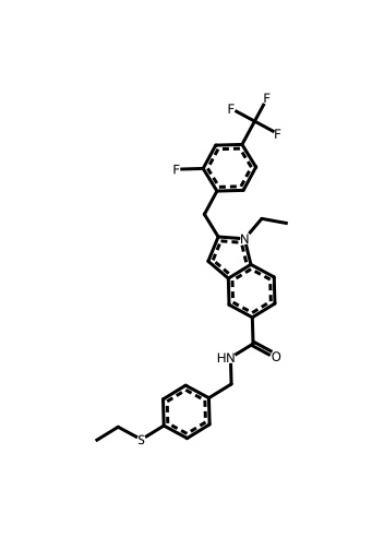 CCSc1ccc(CNC(=O)c2ccc3c(c2)cc(Cc2ccc(C(F)(F)F)cc2F)n3CC)cc1